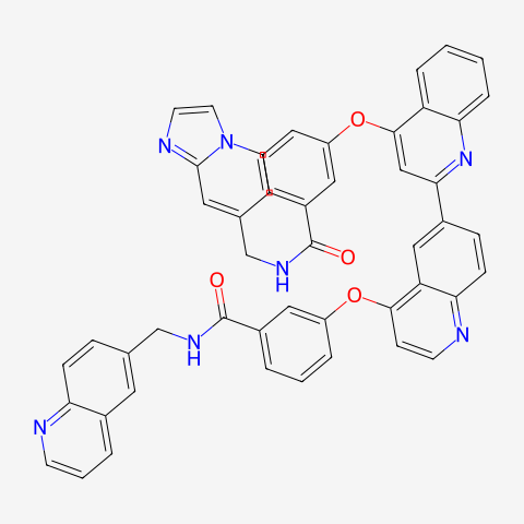 O=C(NCc1ccc2ncccc2c1)c1cccc(Oc2ccnc3ccc(-c4cc(Oc5cccc(C(=O)NCc6ccn7ccnc7c6)c5)c5ccccc5n4)cc23)c1